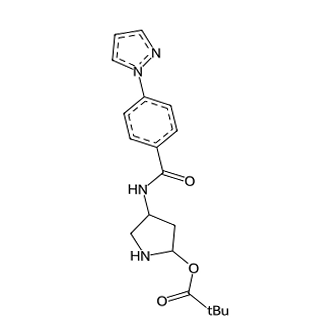 CC(C)(C)C(=O)OC1CC(NC(=O)c2ccc(-n3cccn3)cc2)CN1